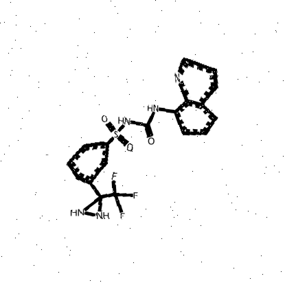 O=C(Nc1cccc2cccnc12)NS(=O)(=O)c1cccc(C2(C(F)(F)F)NN2)c1